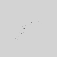 Cc1nc(N2CC(C)(NC(=O)OC(C)(C)C)C2)sc1Cc1ccc(-n2ncn(Cc3c(F)cccc3F)c2=O)cc1